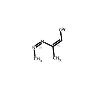 CCC/C=C(C)\N=N/C